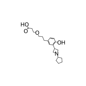 O=C(O)CCOCCCc1ccc(O)c(C2CN(C3CCCC3)C2)c1